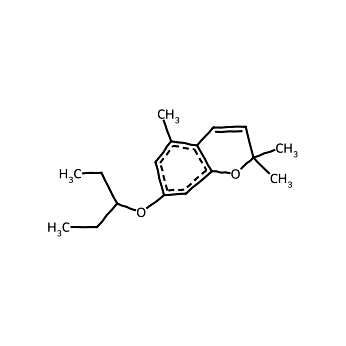 CCC(CC)Oc1cc(C)c2c(c1)OC(C)(C)C=C2